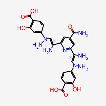 NC(=O)c1cc(/C(N)=C/N(N)c2ccc(C(=O)O)c(O)c2)nc(/C(N)=C/N(N)c2ccc(C(=O)O)c(O)c2)c1